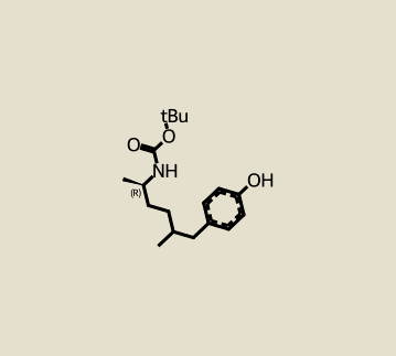 CC(CC[C@@H](C)NC(=O)OC(C)(C)C)Cc1ccc(O)cc1